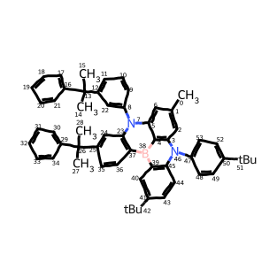 Cc1cc2c3c(c1)N(c1cccc(C(C)(C)c4ccccc4)c1)c1cc(C(C)(C)c4ccccc4)ccc1B3c1cc(C(C)(C)C)ccc1N2c1ccc(C(C)(C)C)cc1